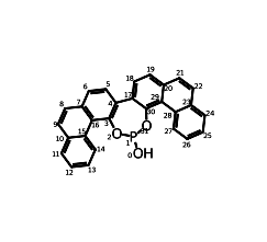 Op1oc2c(ccc3ccc4ccccc4c32)c2ccc3ccc4ccccc4c3c2o1